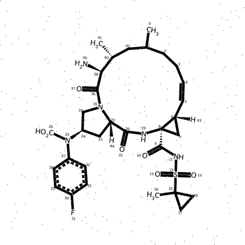 CC1CCC=C[C@@H]2C[C@@]2(C(=O)NS(=O)(=O)C2(C)CC2)NC(=O)[C@@H]2C[C@@H](N(C(=O)O)c3ccc(F)cc3)CN2C(=O)[C@@H](N)[C@H](C)C1